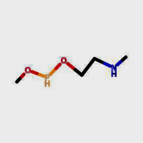 CNCCOPOC